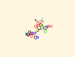 O=C([O-])c1sc(CNC(C(=O)O[C@H]2CN3CCC2CC3)c2cccnc2)cc1[C@@H](Cc1c(Cl)c[n+](O)cc1Cl)c1ccc(OC(F)F)c(OCC2CC2)c1